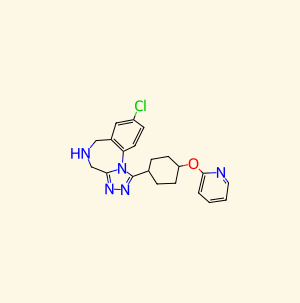 Clc1ccc2c(c1)CNCc1nnc(C3CCC(Oc4ccccn4)CC3)n1-2